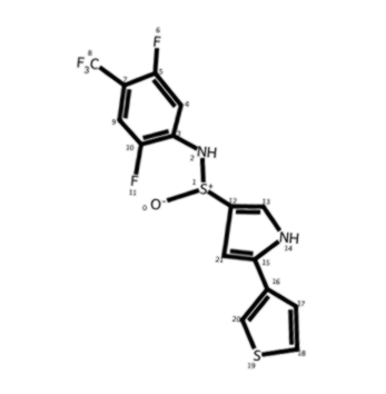 [O-][S+](Nc1cc(F)c(C(F)(F)F)cc1F)c1c[nH]c(-c2ccsc2)c1